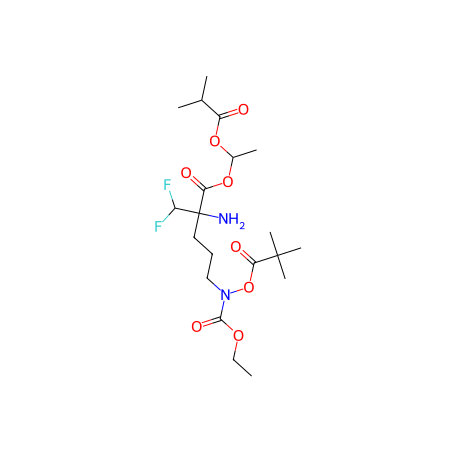 CCOC(=O)N(CCCC(N)(C(=O)OC(C)OC(=O)C(C)C)C(F)F)OC(=O)C(C)(C)C